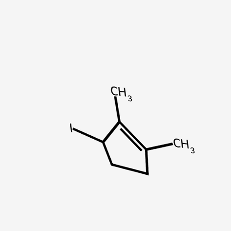 CC1=C(C)C(I)CC1